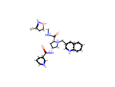 O=C(N[C@@H]1C[C@@H](C(=O)NC[C@@H]2CC(Br)=NO2)N(Cc2cnc3ccccc3c2)C1)c1cccnc1